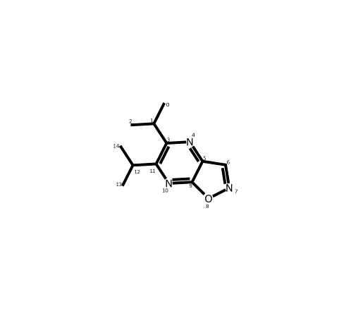 CC(C)c1nc2cnoc2nc1C(C)C